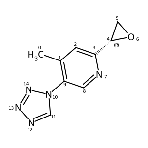 Cc1cc([C@@H]2CO2)ncc1-n1cnnn1